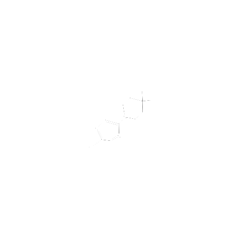 CCOC(=O)C1(F)CCN(c2cnc(C=O)cn2)CC1